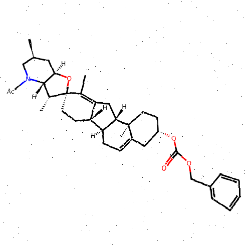 CC(=O)N1C[C@@H](C)C[C@H]2O[C@]3(CC[C@@H]4C(=C3C)C[C@H]3[C@H]4CC=C4C[C@@H](OC(=O)OCc5ccccc5)CC[C@@]43C)[C@H](C)[C@@H]21